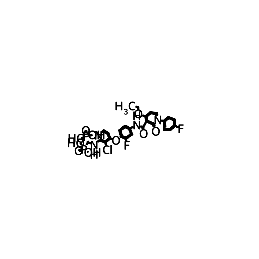 CCOc1ccn(-c2ccc(F)cc2)c(=O)c1C(=O)Nc1ccc(Oc2ccnc(NC(P(=O)(O)O)P(=O)(O)O)c2Cl)c(F)c1